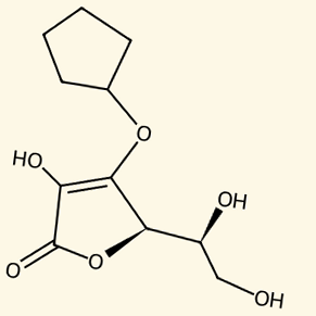 O=C1O[C@H]([C@@H](O)CO)C(OC2CCCC2)=C1O